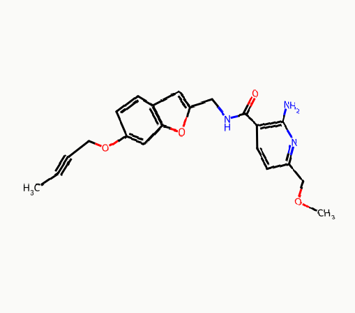 CC#CCOc1ccc2cc(CNC(=O)c3ccc(COC)nc3N)oc2c1